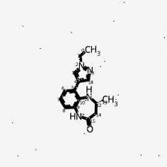 CCn1cc(-c2cccc3c2N[C@H](C)CC(=O)N3)cn1